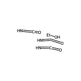 CCO.N=C=O.N=C=O.N=C=O